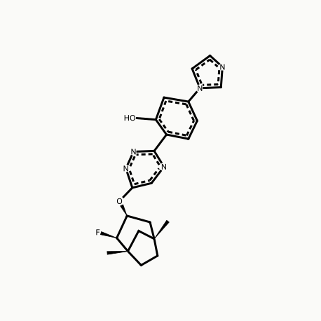 C[C@@]12CC[C@@](C)(C1)[C@@H](F)[C@@H](Oc1cnc(-c3ccc(-n4ccnc4)cc3O)nn1)C2